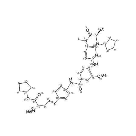 CC[C@@H]1C(=O)N(C)c2cnc(Nc3ccc(C(=O)Nc4ccc(/C=C/C[C@H](NC)C(=O)OC5CCCC5)cc4)cc3OC)nc2N1C1CCCC1